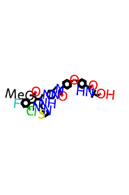 COC(=O)C1=C(CN2CCN3C(=O)N(c4ccc(Oc5ccc(C(=O)NC(C)(C)CO)cc5)cc4)CC3C2)NC(c2nccs2)=NC1c1ccc(F)cc1Cl